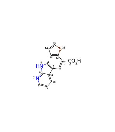 O=C(O)C(=Cc1c[nH]c2ncccc12)c1cccs1